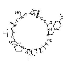 CC[C@H](C)[C@H]1C(=O)N2CCC[C@H]2C(=O)O[C@H](C(C)(C)C)C[C@@H](C)C[C@H](O)CC2=N[C@@H](CCC(=O)N[C@@H](Cc3ccc(OC)cc3)C(=O)N(C)[C@@H](C)C(=O)N1C)CS2